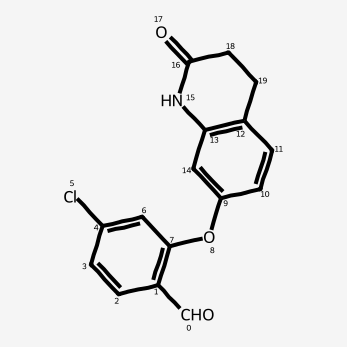 O=Cc1ccc(Cl)cc1Oc1ccc2c(c1)NC(=O)CC2